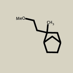 COCCC1(C)CC2CCC1C2